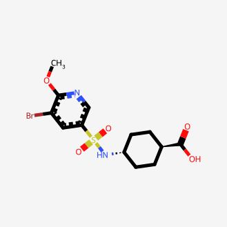 COc1ncc(S(=O)(=O)N[C@H]2CC[C@H](C(=O)O)CC2)cc1Br